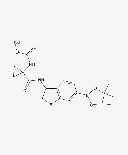 CC(C)(C)OC(=O)NC1(C(=O)NC2CSc3cc(B4OC(C)(C)C(C)(C)O4)ccc32)CC1